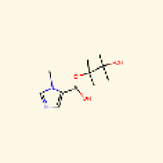 Cn1cncc1B(O)OC(C)(C)C(C)(C)O